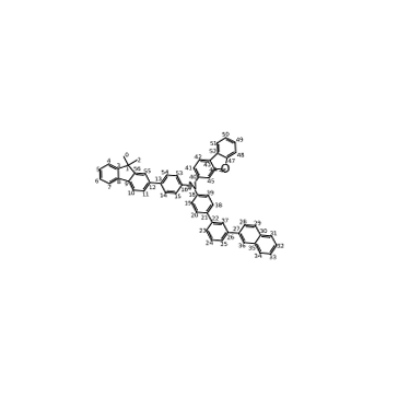 CC1(C)c2ccccc2-c2ccc(-c3ccc(N(c4ccc(-c5cccc(-c6ccc7ccccc7c6)c5)cc4)c4ccc5c(c4)oc4ccccc45)cc3)cc21